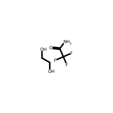 NC(=O)C(F)(F)F.OCCO